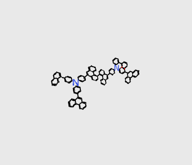 c1ccc(-c2ccccc2N(c2ccc(-c3cc4ccccc4c4ccccc34)cc2)c2ccc(-c3cc4ccccc4c4c(-c5cccc6c(-c7ccc(N(c8ccc(-c9cccc%10ccccc9%10)cc8)c8ccc(-c9cc%10ccccc%10c%10ccccc9%10)cc8)cc7)cc7ccccc7c56)cccc34)cc2)cc1